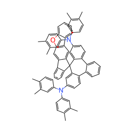 Cc1ccc(N(c2ccc(C)c(C)c2)c2ccc3c(c2)C2(c4cc(N(c5ccc(C)c(C)c5)c5ccc(C)c(C)c5)ccc4-c4ccccc4-3)c3ccccc3-c3cc4oc5ccccc5c4cc32)cc1C